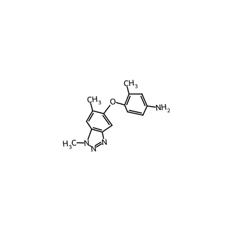 Cc1cc(N)ccc1Oc1cc2nnn(C)c2cc1C